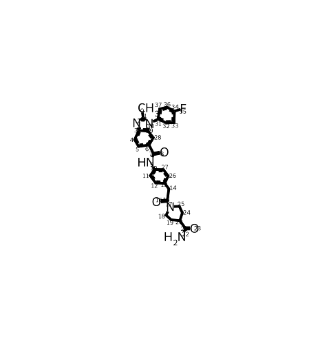 Cc1nc2ccc(C(=O)Nc3ccc(CC(=O)N4CCC(C(N)=O)CC4)cc3)cc2n1-c1ccc(F)cc1